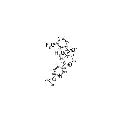 CC1([S+]([O-])c2cccc(C(F)(F)F)c2)CCOC(c2ccc(C3CC3)nc2)C1